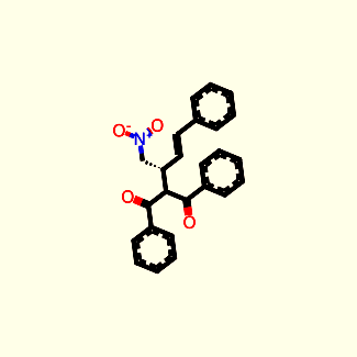 O=C(c1ccccc1)C(C(=O)c1ccccc1)[C@@H](C=Cc1ccccc1)C[N+](=O)[O-]